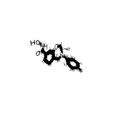 C[C@H]1COc2cc(C(=O)NO)ccc2CN1c1ccc(F)cc1